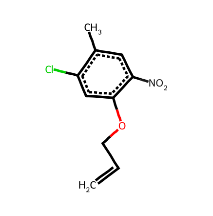 C=CCOc1cc(Cl)c(C)cc1[N+](=O)[O-]